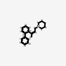 CC(=CCN1CCCCC1)c1ccccc1-c1ccccc1